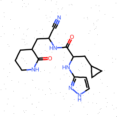 N#CC(CC1CCCNC1=O)NC(=O)C(CC1CC1)Nc1cc[nH]n1